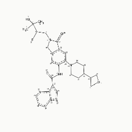 CC(C)(O)C(F)CN1Cc2cc(NC(=O)c3cnn4cccnc34)c(N3CCC(C4COC4)CC3)cc2C1=O